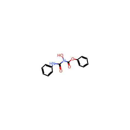 O=C(Nc1ccccc1)N(O)C(=O)Oc1ccccc1